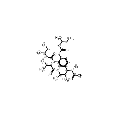 CCC(C)OC(=O)Oc1ccc(C(C(C)C(C)OC(=O)CC(C)C)[C@H](N)C(=O)O)cc1OC(=O)OC(C)CC